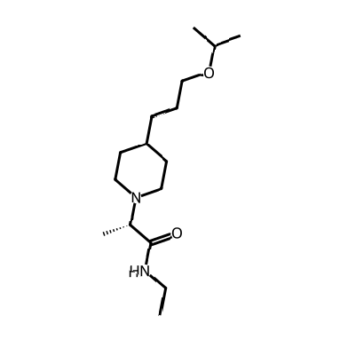 CCNC(=O)[C@H](C)N1CCC(CCCOC(C)C)CC1